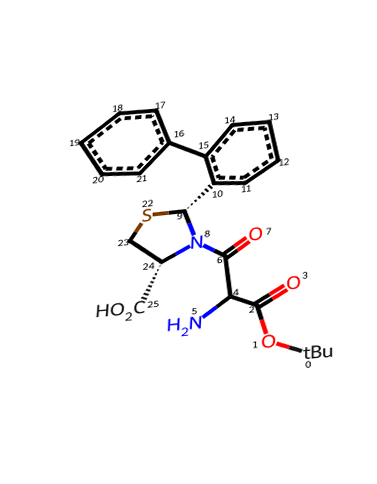 CC(C)(C)OC(=O)C(N)C(=O)N1[C@@H](c2ccccc2-c2ccccc2)SC[C@H]1C(=O)O